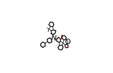 CC1(C)c2ccccc2-c2ccc(N(c3ccc(-c4ccccc4)cc3)c3ccc4c(c3)-c3ccccc3C43c4ccccc4Oc4ccc5ccccc5c43)cc21